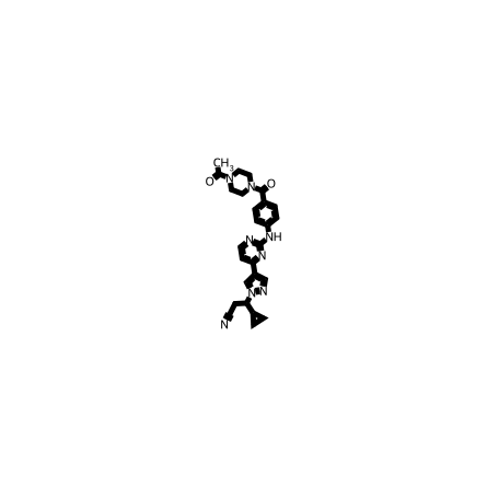 CC(=O)N1CCN(C(=O)c2ccc(Nc3nccc(-c4cnn(C(CC#N)C5CC5)c4)n3)cc2)CC1